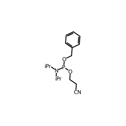 CC(C)N(C(C)C)P(OCCC#N)OCc1ccccc1